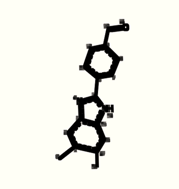 Cc1cc2nc(-c3ccc(C=O)cc3)[nH]c2cc1C